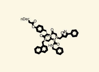 CCCCCCCCCCCC(=O)Oc1ccc(C[C@H]2C(=O)N(Cc3cccc4ccccc34)CC3N2C(=O)CN(Cc2cc(-c4ccccc4)no2)N3C(=O)NCc2ccccc2)cc1